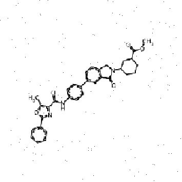 COC(=O)C1CCCC(N2Cc3ccc(-c4ccc(NC(=O)c5nc(-c6ccccc6)oc5C)cc4)cc3C2=O)C1